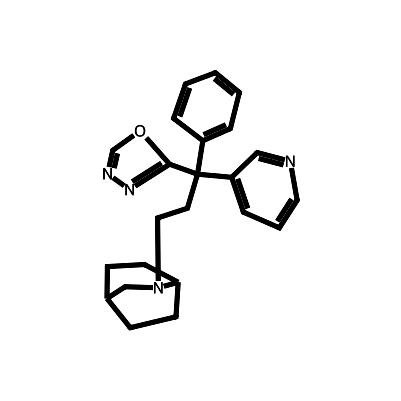 c1ccc(C(CCN2CC3CCC2CC3)(c2cccnc2)c2nnco2)cc1